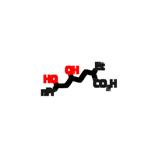 CCCC(O)CC(O)CCC(CC)C(=O)O